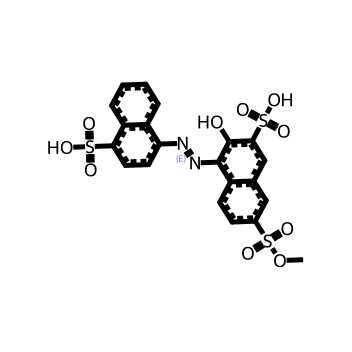 COS(=O)(=O)c1ccc2c(/N=N/c3ccc(S(=O)(=O)O)c4ccccc34)c(O)c(S(=O)(=O)O)cc2c1